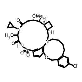 CO[C@@H]1CCC(=O)N(C2CC2)C(C)C(=O)NS(=O)(=O)c2ccc3c(c2)N(CCCCc2cc(Cl)ccc2CO3)C[C@@H]2CC[C@H]21